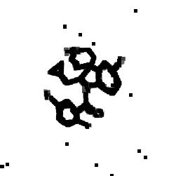 O=C(c1cc(F)ccc1F)N1c2ccc(F)cc2C2(CCNCC2)C1CC1CC1